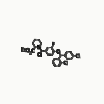 CCOC(=O)C1CCCCN1C(=O)c1ccc(OC(c2ccc(Cl)cc2)c2ccccc2Cl)c(F)c1